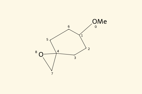 COC1CCC2(CC1)CO2